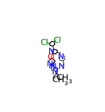 CCC(CC)N1CCN(c2ccc(Oc3cc(CN4CCC(CN)CC4)cc(-c4cc(Cl)cc(Cl)c4)n3)cn2)CC1